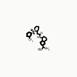 CC(C)(C)C(N)c1ccc2c(c1)CCCC2NC(=O)CC1CCCCN1S(=O)(=O)c1cccc(C(F)(F)F)c1